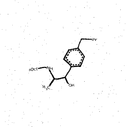 CCCCCCCCNC(C)C(O)c1ccc(CC(C)C)cc1